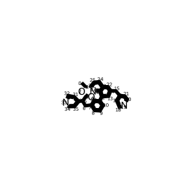 CCOC(=O)C(Cc1cccc(-c2cc(Cc3ccncc3)cc3cccnc23)c1)c1ccncc1